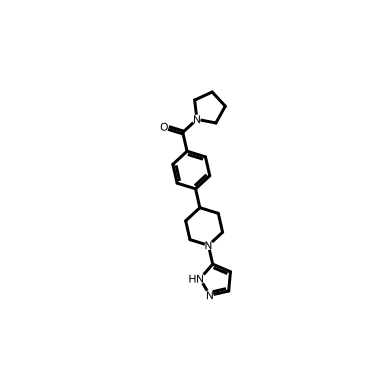 O=C(c1ccc(C2CCN(c3ccn[nH]3)CC2)cc1)N1CCCC1